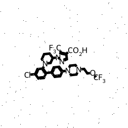 O=C(O)c1cnn(C2CCCN(c3cc(Cl)ccc3-c3ccc(N4CCN(CCOC(F)(F)F)CC4)cc3)C2)c1C(F)(F)F